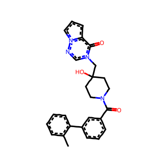 Cc1ccccc1-c1cccc(C(=O)N2CCC(O)(Cn3cnn4cccc4c3=O)CC2)c1